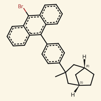 CC1(c2ccc(-c3c4ccccc4c(Br)c4ccccc34)cc2)C[C@@H]2CC[C@@H](C2)C1